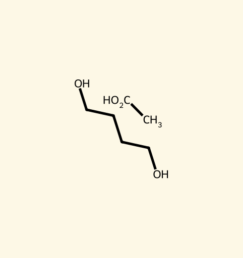 CC(=O)O.OCCCCO